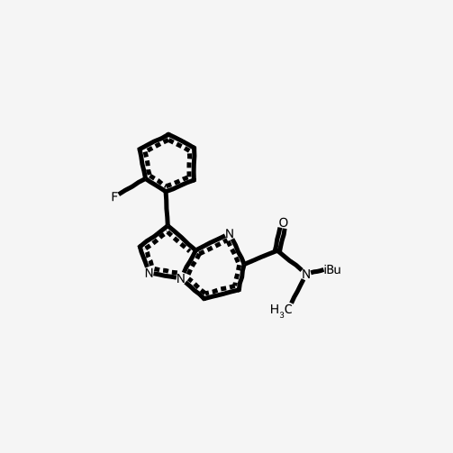 CCC(C)N(C)C(=O)c1ccn2ncc(-c3ccccc3F)c2n1